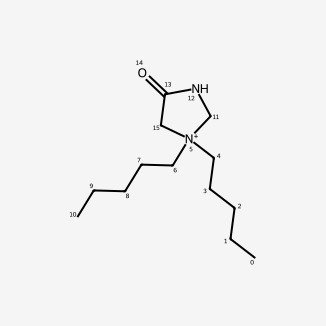 CCCCC[N+]1(CCCCC)CNC(=O)C1